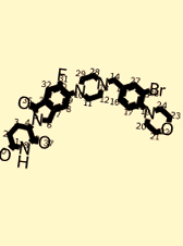 O=C1CCC(N2Cc3cc(N4CCN(Cc5ccc(N6CCOCC6)c(Br)c5)CC4)c(F)cc3C2=O)C(=O)N1